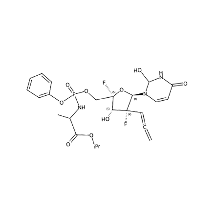 C=C=C[C@]1(F)[C@H](N2C=CC(=O)NC2O)O[C@](F)(COP(=O)(NC(C)C(=O)OC(C)C)Oc2ccccc2)[C@H]1O